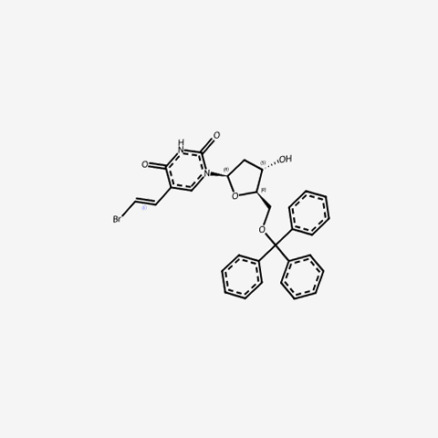 O=c1[nH]c(=O)n([C@H]2C[C@H](O)[C@@H](COC(c3ccccc3)(c3ccccc3)c3ccccc3)O2)cc1/C=C/Br